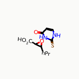 CCCC1OC1C(=O)O.O=c1cc[nH]c(=S)[nH]1